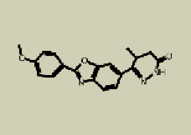 COc1ccc(-c2nc3ccc(C4=NNC(=O)CC4C)cc3o2)cc1